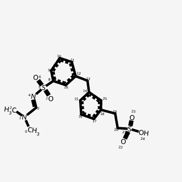 CN(C)C=NS(=O)(=O)c1cccc(Cc2cccc(CCS(=O)(=O)O)c2)c1